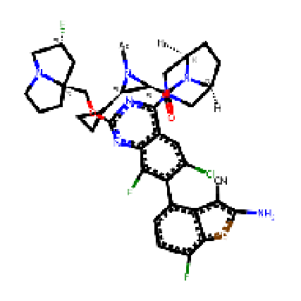 CC(=O)N1[C@H](C2CC2)[C@@H]1C(=O)N1[C@@H]2CC[C@H]1CN(c1nc(OC[C@@]34CCCN3C[C@H](F)C4)nc3c(F)c(-c4ccc(F)c5sc(N)c(C#N)c45)c(Cl)cc13)C2